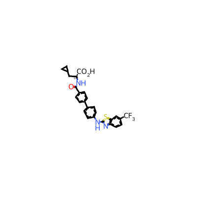 O=C(N[C@@H](CC1CC1)C(=O)O)c1ccc(-c2ccc(Nc3nc4ccc(C(F)(F)F)cc4s3)cc2)cc1